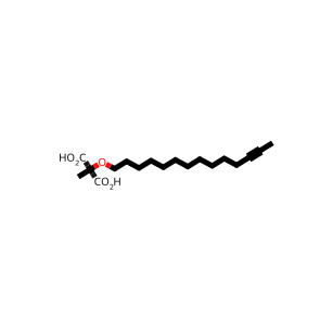 CC#CCCCCCCCCCCCOC(C)(C(=O)O)C(=O)O